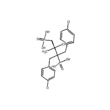 [CH2]C([CH2])(CP(=O)(O)O)C(Cc1ccc(Cl)cc1)(Cc1ccc(Cl)cc1)P(=O)(O)O